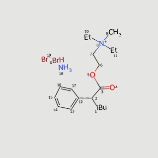 Br.CCC(C)C(C(=O)OCC[N+](C)(CC)CC)c1ccccc1.N.[Br-]